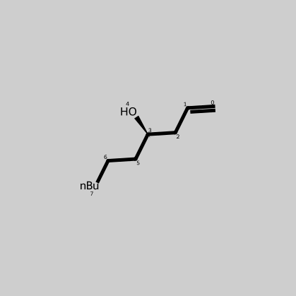 C=CC[C@H](O)CCCCCC